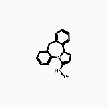 CC(C)NC1=NCC2c3ccccc3Cc3ccccc3N12